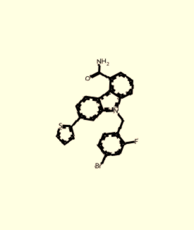 NC(=O)c1cccc2c1c1[c]cc(-c3cccs3)cc1n2Cc1ccc(Br)cc1F